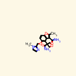 Cc1oc2ccc(OCc3nccn3C)c(C3(C(N)=O)COC3)c2c1C(N)=O